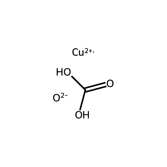 O=C(O)O.[Cu+2].[O-2]